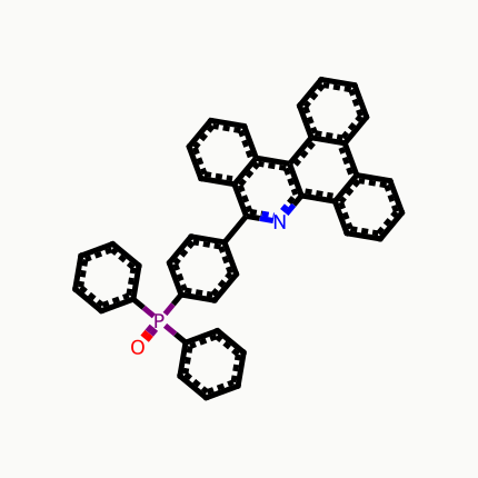 O=P(c1ccccc1)(c1ccccc1)c1ccc(-c2nc3c4ccccc4c4ccccc4c3c3ccccc23)cc1